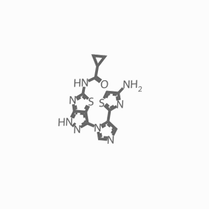 Nc1csc(-c2cncn2-c2n[nH]c3nc(NC(=O)C4CC4)sc23)n1